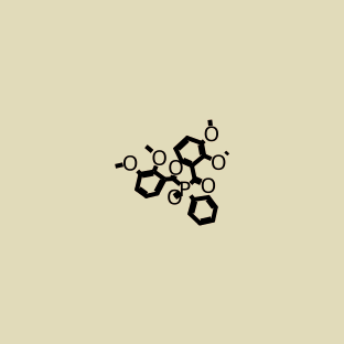 COc1cccc(C(=O)P(=O)(C(=O)c2cccc(OC)c2OC)c2ccccc2)c1OC